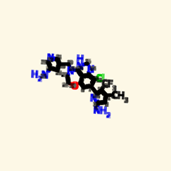 Cc1cc(N)nc(-c2cc3c4c(c2Cl)=NCNC=4N(Cc2cncc(N)c2)C=CO3)c1C(F)(F)F